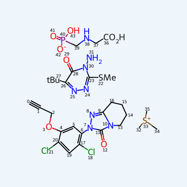 C#CCOc1cc(-n2nc3n(c2=O)CCCC3)c(Cl)cc1Cl.CSc1nnc(C(C)(C)C)c(=O)n1N.C[S+](C)C.O=C(O)CNCP(=O)([O-])O